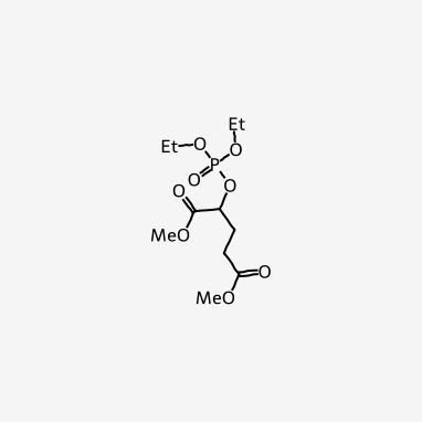 CCOP(=O)(OCC)OC(CCC(=O)OC)C(=O)OC